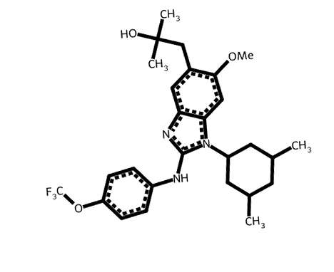 COc1cc2c(cc1CC(C)(C)O)nc(Nc1ccc(OC(F)(F)F)cc1)n2C1CC(C)CC(C)C1